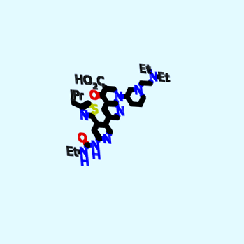 CCNC(=O)Nc1cc(-c2nc(CC(C)C)cs2)c(-c2cnc3c(c2)c(=O)c(C(=O)O)cn3C2CCCN(CCN(CC)CC)C2)cn1